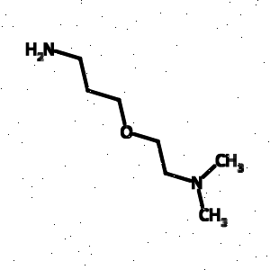 CN(C)CCOCCCN